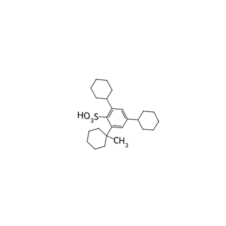 CC1(c2cc(C3CCCCC3)cc(C3CCCCC3)c2S(=O)(=O)O)CCCCC1